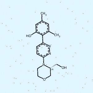 Cc1cc(C)c(-c2ccc(N3CCOC[C@H]3CO)nn2)c(O)c1